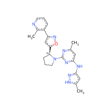 Cc1cc(Nc2cc(C)[nH]n2)nc(N2CCC[C@H]2c2cc(-c3cccnc3C)no2)n1